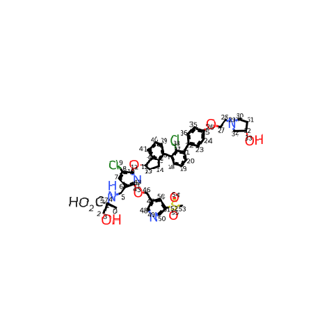 C[C@@](CO)(NCc1cc(Cl)c(O[C@H]2CCc3c(-c4cccc(-c5ccc(OCCN6CC[C@@H](O)C6)cc5)c4Cl)cccc32)nc1OCc1cncc(S(C)(=O)=O)c1)C(=O)O